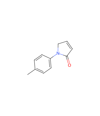 Cc1ccc(N2CC=CC2=O)cc1